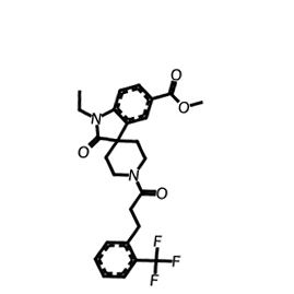 CCN1C(=O)C2(CCN(C(=O)CCc3ccccc3C(F)(F)F)CC2)c2cc(C(=O)OC)ccc21